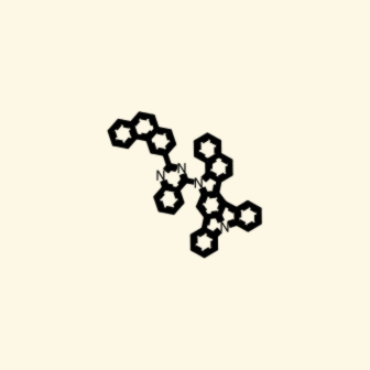 c1ccc2c(c1)ccc1ccc(-c3nc(-n4c5cc6c7ccccc7n7c8ccccc8c(c5c5ccc8ccccc8c54)c67)c4ccccc4n3)cc12